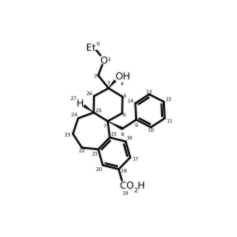 CCOC[C@]1(O)CC[C@]2(Cc3ccccc3)c3ccc(C(=O)O)cc3CCC[C@@H]2C1